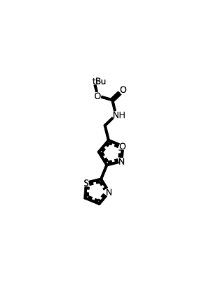 CC(C)(C)OC(=O)NCc1cc(-c2nccs2)no1